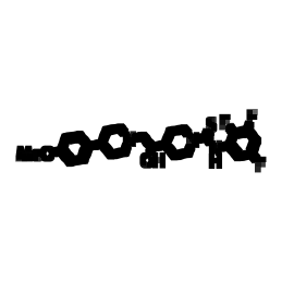 COc1ccc(C2CCN(CC(O)C3CCN(C(=S)Nc4cc(F)cc(F)c4F)CC3)CC2)cc1